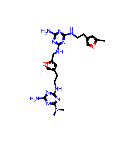 Cc1cc(CCNc2nc(N)nc(NCc3cc(CCNc4nc(N)nc(N(C)C)n4)co3)n2)co1